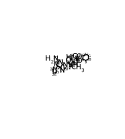 C[C@@]1(F)[C@@H]2O[P@@](=O)(OC3CCCCC3)OC[C@H]2O[C@H]1n1cnc2c(N3CCC3)nc(N)nc21